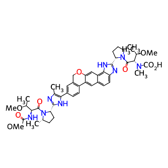 COC(=O)N[C@H](C(=O)N1[C@@H](C)CC[C@H]1c1nc(C)c(-c2ccc3c(c2)COc2cc4c(ccc5nc([C@@H]6CC[C@H](C)N6C(=O)[C@H]([C@@H](C)OC)N(C)C(=O)O)[nH]c54)cc2-3)[nH]1)C(C)OC